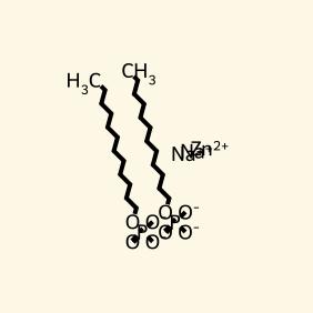 CCCCCCCCCCCCOP(=O)([O-])[O-].CCCCCCCCCCCCOP(=O)([O-])[O-].[Na+].[Na+].[Zn+2]